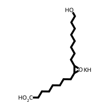 O=C(O)CCCCCCCC1OC1CCCCCCCCO.[KH]